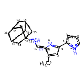 CC1=CC(c2ccc[nH]2)=N/C1=C\NC12CC3CC(CC(C3)C1)C2